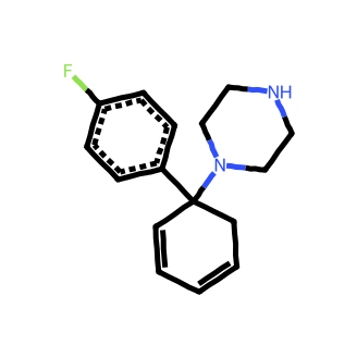 Fc1ccc(C2(N3CCNCC3)C=CC=CC2)cc1